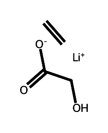 C=C.O=C([O-])CO.[Li+]